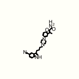 Cc1c(C(N)=O)oc2ccc(N3CCN(CCCCc4c[nH]c5ccc(C#N)cc45)CC3)cc12